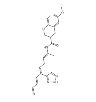 C=C(/C=C1/CC(C(=O)N/C(C)=C/CC=C(/C=C/C=O)c2cn[nH]n2)CO/C1=C/C)OC